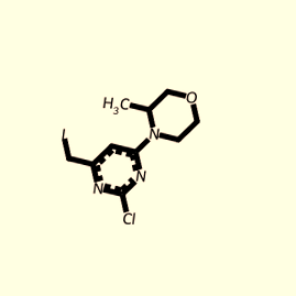 CC1COCCN1c1cc(CI)nc(Cl)n1